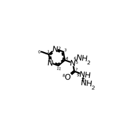 Cc1ncc(N(N)C(=O)NN)cn1